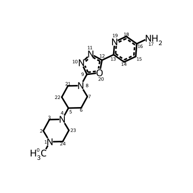 CN1CCN(C2CCN(c3nnc(-c4ccc(N)cn4)o3)CC2)CC1